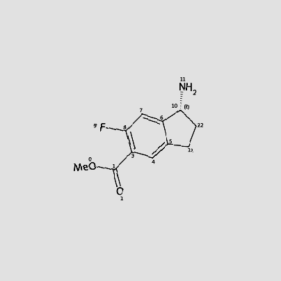 COC(=O)c1cc2c(cc1F)[C@H](N)CC2